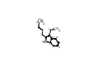 CCCCc1[nH]c2ccccc2c1CC